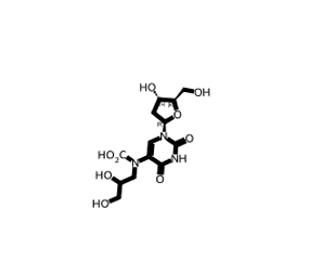 O=C(O)N(CC(O)CO)c1cn([C@H]2C[C@H](O)[C@@H](CO)O2)c(=O)[nH]c1=O